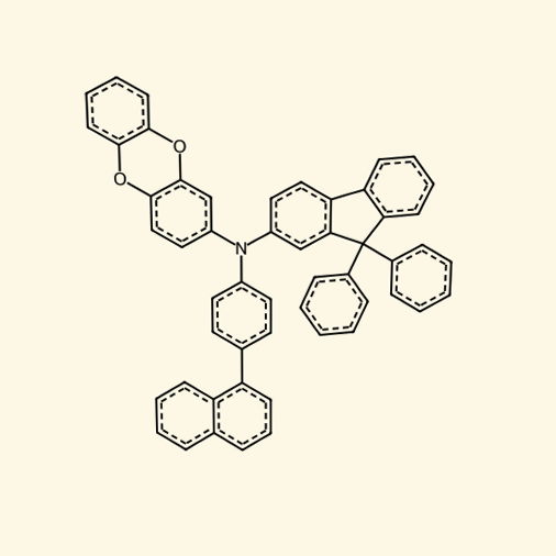 c1ccc(C2(c3ccccc3)c3ccccc3-c3ccc(N(c4ccc(-c5cccc6ccccc56)cc4)c4ccc5c(c4)Oc4ccccc4O5)cc32)cc1